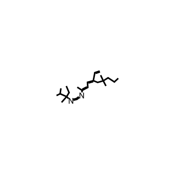 C=C/C(=C/C=C(\C)N=C=NC(C)(CC)C(C)C)CC(C)(C)CCC